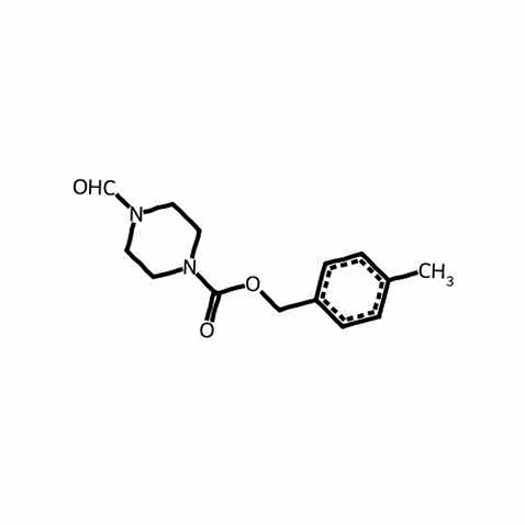 Cc1ccc(COC(=O)N2CCN(C=O)CC2)cc1